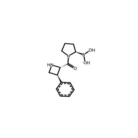 O=C([C@H]1NC[C@@H]1c1ccccc1)N1CCC[C@H]1B(O)O